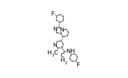 C=C(Nc1ccc(F)cc1)c1cc(-c2cccn3c(-c4cccc(F)c4)ncc23)cnc1C